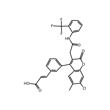 Cc1cc2c(-c3cccc(C=CC(=O)O)c3)c(CC(=O)Nc3ccccc3C(F)(F)F)c(=O)oc2cc1Cl